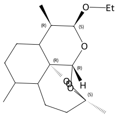 CCO[C@H]1O[C@@H]2O[C@]3(C)CCC4C(C)CCC([C@H]1C)[C@]42OO3